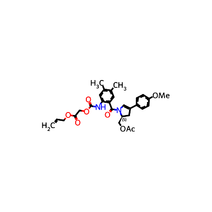 C=CCOC(=O)COC(=O)Nc1cc(C)c(C)cc1C(=O)N1C=C(c2ccc(OC)cc2)C[C@H]1COC(C)=O